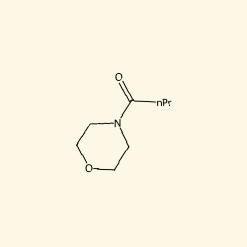 C[CH]CC(=O)N1CCOCC1